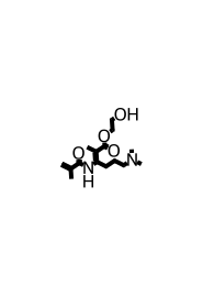 C=C(C)C(=O)NC(CCCN(C)C)=C(C)C(=O)OCCO